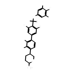 CC1CCC(c2ccc(-c3cc(F)c(C(F)(F)Oc4cc(F)c(F)c(F)c4)c(F)c3)c(F)c2F)CO1